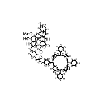 CO[C@@H]1C(CO)O[C@@H](O[C@@H]2C(CO)O[C@@H](C)C(NC(=O)CN3CCN(C)CC3)[C@H]2O)C(NC(=O)CN2CCN(CC(=O)Nc3ccc(-c4c5nc(c(-c6ccccc6)c6ccc([nH]6)c(-c6ccccc6)c6nc(c(-c7ccccc7)c7ccc4[nH]7)C=C6)C=C5)cc3)CC2)[C@H]1O